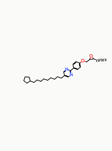 CCCCCCC1OC1COc1ccc(-c2ncc(CCCCCCCCCC3CCCC3)cn2)cc1